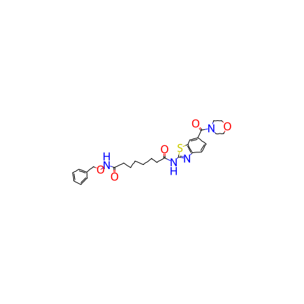 O=C(CCCCCCC(=O)Nc1nc2ccc(C(=O)N3CCOCC3)cc2s1)NOCc1ccccc1